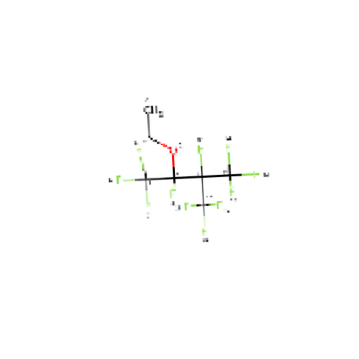 CCOC(F)(C(F)(F)F)C(F)(C(F)(F)F)C(F)(F)F